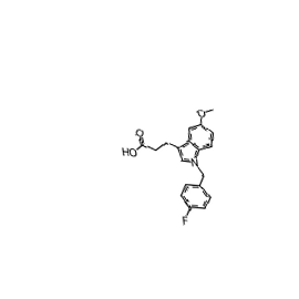 COc1ccc2c(c1)c(CCC(=O)O)cn2Cc1ccc(F)cc1